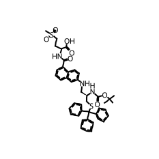 CC(C)(C)OC(=O)N[C@H](CNc1ccc2c(C(=O)NC(CCS(C)(=O)=O)C(=O)O)cccc2c1)CSC(c1ccccc1)(c1ccccc1)c1ccccc1